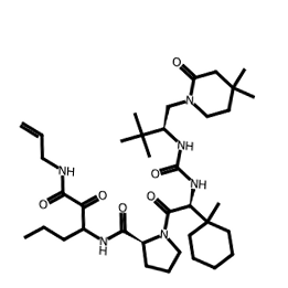 C=CCNC(=O)C(=O)C(CCC)NC(=O)[C@@H]1CCCN1C(=O)[C@@H](NC(=O)N[C@H](CN1CCC(C)(C)CC1=O)C(C)(C)C)C1(C)CCCCC1